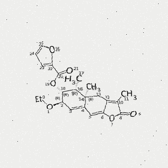 CCO[C@@H]1C=C2C=C3OC(=O)C(C)=C3C[C@]2(C)[C@@H](C)[C@H]1OC(=O)c1ccco1